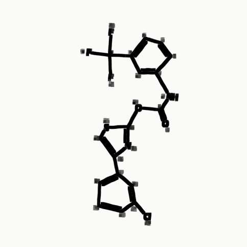 O=C(Nc1cccc(C(F)(F)F)c1)Oc1nc(-c2cccc(Cl)c2)cs1